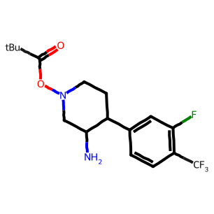 CC(C)(C)C(=O)ON1CCC(c2ccc(C(F)(F)F)c(F)c2)C(N)C1